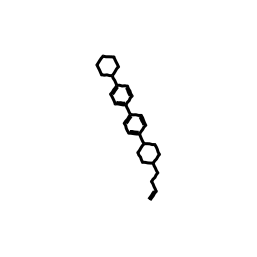 C=CCCC1CCC(c2ccc(-c3ccc(C4CCCCC4)cc3)cc2)CC1